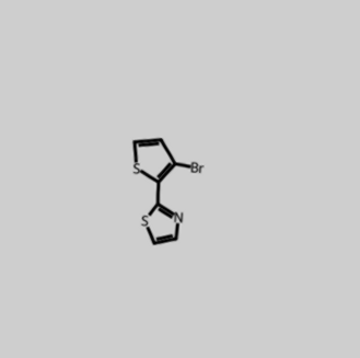 Brc1ccsc1-c1nccs1